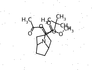 COC(=O)C1(CC(C)=O)CC2CCC(C1)N2C(=O)OC(C)(C)C